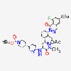 CC(=O)OCc1c(-c2cc(Nc3ccc(C4CCN(C(=O)OC(C)(C)C)CC4)cn3)c(=O)n(C)n2)cccc1-n1ncc2cc(C(C)(C)C)cc(F)c2c1=O